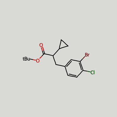 CC(C)(C)OC(=O)C(Cc1ccc(Cl)c(Br)c1)C1CC1